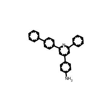 Nc1ccc(-c2cc(-c3ccccc3)nc(-c3ccc(-c4ccccc4)cc3)c2)cc1